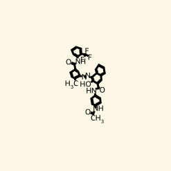 CC(=O)Nc1ccc(NC(=O)c2cc3ccccc3c(N=Nc3cc(C(=O)Nc4ccccc4C(F)(F)F)ccc3C)c2O)cc1